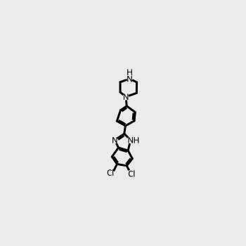 Clc1cc2nc(-c3ccc(N4CCNCC4)cc3)[nH]c2cc1Cl